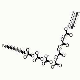 O=C([O-])[O-].O=C([O-])[O-].O=C([O-])[O-].O=C([O-])[O-].O=C([O-])[O-].O=C([O-])[O-].O=C([O-])[O-].[Na+].[Na+].[Na+].[Na+].[Na+].[Na+].[Na+].[Na+].[Na+].[Na+].[Na+].[Na+].[Na+].[Na+]